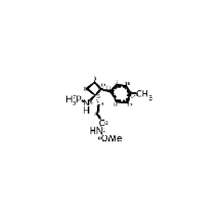 CONOCC[C@]1(NP)CCC1c1ccc(C)cc1